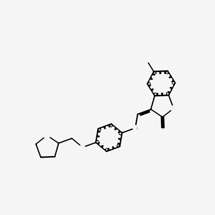 O=C1Nc2ccc(F)cc2C1=CNc1ccc(NCC2CCCO2)cc1